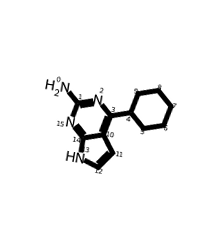 Nc1nc(C2CCCCC2)c2cc[nH]c2n1